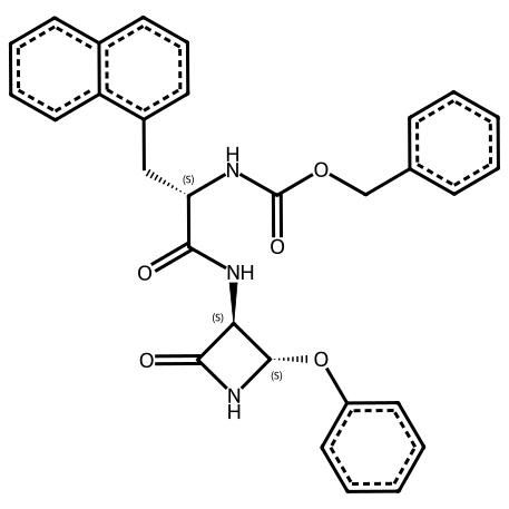 O=C(N[C@@H](Cc1cccc2ccccc12)C(=O)N[C@@H]1C(=O)N[C@H]1Oc1ccccc1)OCc1ccccc1